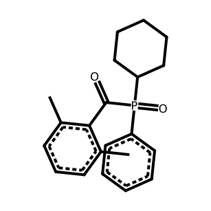 Cc1cccc(C)c1C(=O)P(=O)(c1ccccc1)C1CCCCC1